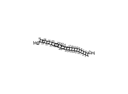 OC1CC2C1C1C2C2C1C1C2C2C1C1C2C2C1C1C2C2C1C1C3C4C5C6C7C8C9C%10CC(O)C%10C9C8C7C6C5C4C3C21